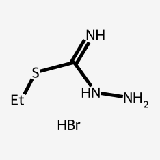 Br.CCSC(=N)NN